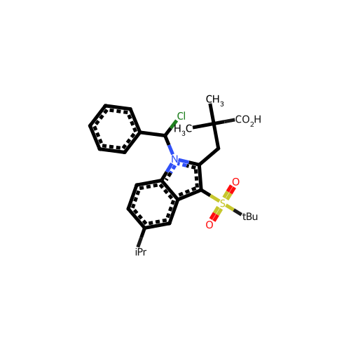 CC(C)c1ccc2c(c1)c(S(=O)(=O)C(C)(C)C)c(CC(C)(C)C(=O)O)n2C(Cl)c1ccccc1